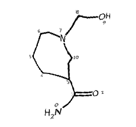 NC(=O)C1CCCN(CO)C1